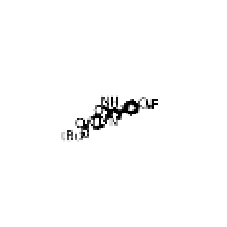 CC(C)(C)OC(=O)N1CCN(c2ncc(-c3ccc(OCF)cc3)cc2C(N)=O)CC1